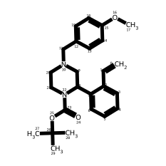 C=Cc1ccccc1C1CN(Cc2ccc(OC)cc2)CCN1C(=O)OC(C)(C)C